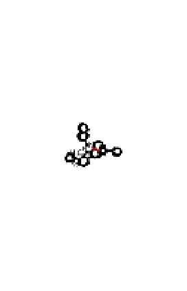 CC1(c2nc(-c3ccc(-c4ccccc4)cc3)nc(-c3ccc4ccccc4c3)n2)c2c(oc3ccccc23)C=CC1c1ccc2ccccc2c1